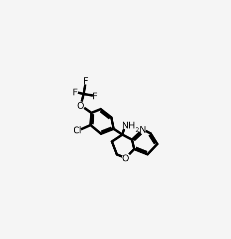 NC1(c2ccc(OC(F)(F)F)c(Cl)c2)CCOc2cccnc21